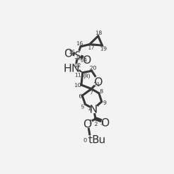 CC(C)(C)OC(=O)N1CCC2(CC1)C[C@@H](NS(=O)(=O)CC1CC1)CO2